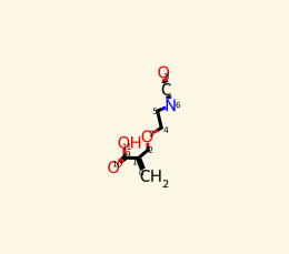 C=C(COCCN=C=O)C(=O)O